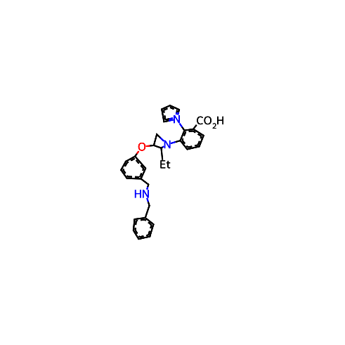 CCC1C(Oc2cccc(CNCc3ccccc3)c2)CN1c1cccc(C(=O)O)c1-n1cccc1